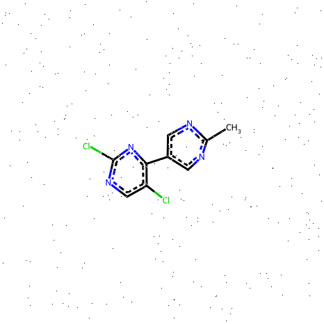 Cc1ncc(-c2nc(Cl)ncc2Cl)cn1